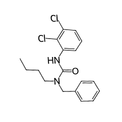 CCCCN(Cc1ccccc1)C(=O)Nc1cccc(Cl)c1Cl